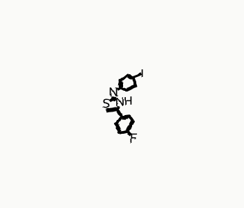 Fc1ccc(-c2csc(=Nc3ccc(I)cc3)[nH]2)cc1